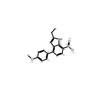 [CH2]Cc1cc2c(-c3ccc(OC)cc3)ccc([N+](=O)[O-])c2[nH]1